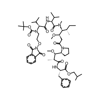 CC[C@H](C)[C@@H]([C@@H](CC(=O)N1CCC[C@H]1[C@H](OC)[C@@H](C)C(=O)N[C@@H](Cc1ccccc1)C(=O)OCC(C)C)OC)N(C)C(=O)[C@@H](NC(=O)[C@H](C(C)C)N(CCON1C(=O)c2ccccc2C1=O)C(=O)OC(C)(C)C)C(C)C